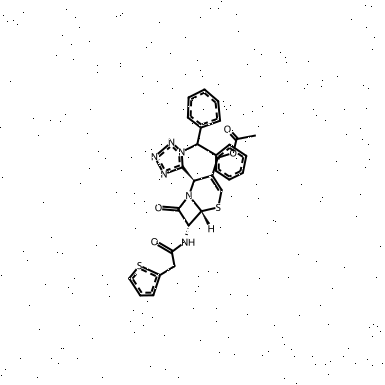 CC(=O)OCC1=CS[C@@H]2[C@H](NC(=O)Cc3cccs3)C(=O)N2[C@H]1c1nnnn1C(c1ccccc1)c1ccccc1